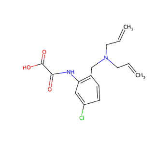 C=CCN(CC=C)Cc1ccc(Cl)cc1NC(=O)C(=O)O